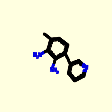 Cc1ccc(-c2cccnc2)c(N)c1N